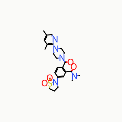 Cc1cnc(N2CCN(C(=O)c3ccc(N4CCCS4(=O)=O)cc3C(=O)N(C)C)CC2)c(C)c1